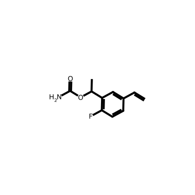 C=Cc1ccc(F)c(C(C)OC(N)=O)c1